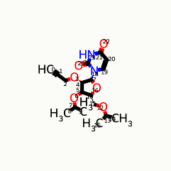 C#CCO[C@H]1C(OC(C)C)[C@@H](COC(C)C)O[C@H]1n1ccc(=O)[nH]c1=O